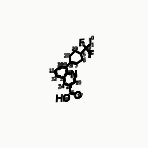 CCC(F)(F)C1CC=C(c2cccc3cc(C(=O)O)cnc23)CC1